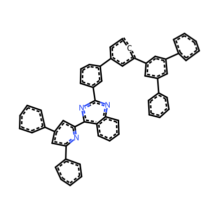 c1ccc(-c2cc(-c3ccccc3)cc(-c3cccc(-c4cccc(-c5nc(-c6cc(-c7ccccc7)cc(-c7ccccc7)n6)c6ccccc6n5)c4)c3)c2)cc1